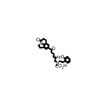 COc1ccccc1CCN(CCCCCC(=O)c1cc2c3c(c1)CCN3C(=O)CC2)C(=O)O